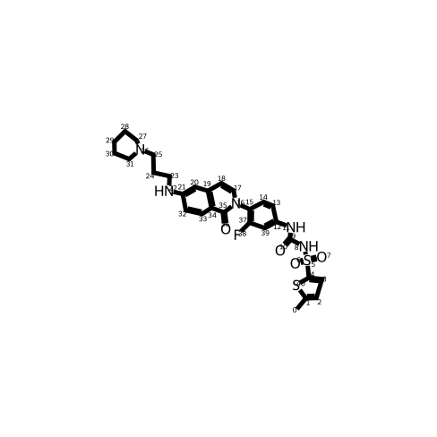 Cc1ccc(S(=O)(=O)NC(=O)Nc2ccc(-n3ccc4cc(NCCCN5CCCCC5)ccc4c3=O)c(F)c2)s1